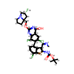 C/N=C\c1c(NC(=O)OC(C)(C)C)sc2c(F)ccc(-c3c(Cl)cc4c(O)nc(OC[C@@]56CCCN5C[C@H](F)C6)nc4c3F)c12